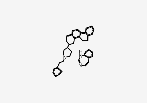 C1=Cc2ccccc2NC=N1.C1=c2ccc3c(c2CC(C2CCN(CCc4ccccc4)CC2)C1)CC=c1ccccc1=3